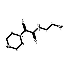 O=C(NCCO)C(=O)N1CCNCC1